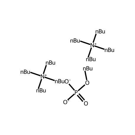 CCCCOP(=O)([O-])[O-].CCCC[N+](CCCC)(CCCC)CCCC.CCCC[N+](CCCC)(CCCC)CCCC